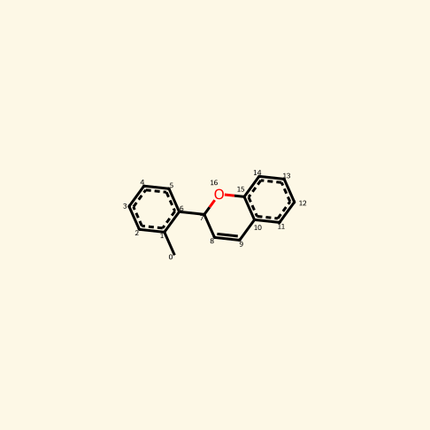 Cc1ccccc1C1C=Cc2ccccc2O1